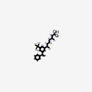 C=C(c1ccccc1)c1cc(/C(C)=C/C=C/C(C)=C/C(=O)O)cc(C(C)(C)C)c1